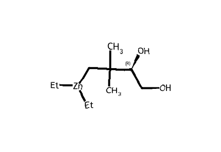 C[CH2][Zn]([CH2]C)[CH2]C(C)(C)[C@@H](O)CO